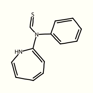 S=CN(C1=CC=CC=CN1)c1ccccc1